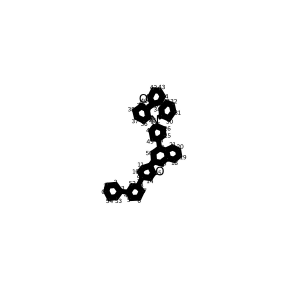 c1ccc(-c2cccc(-c3ccc4c(c3)oc3c5ccccc5c(-c5ccc(N(c6ccccc6)c6cccc7oc8ccccc8c67)cc5)cc43)c2)cc1